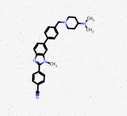 CN(C)C1CCN(Cc2ccc(-c3ccc4nc(-c5ccc(C#N)cc5)n(C)c4c3)cc2)CC1